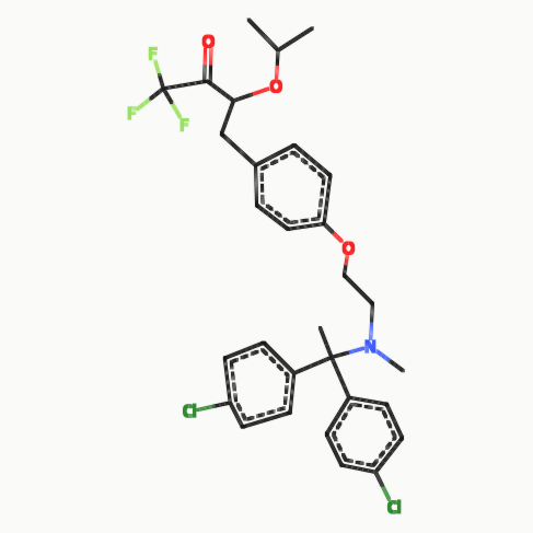 CC(C)OC(Cc1ccc(OCCN(C)C(C)(c2ccc(Cl)cc2)c2ccc(Cl)cc2)cc1)C(=O)C(F)(F)F